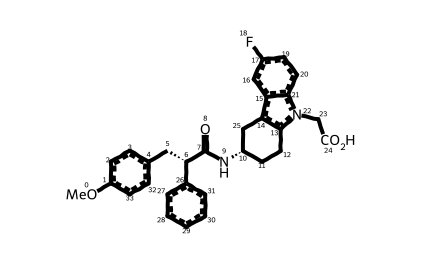 COc1ccc(C[C@H](C(=O)N[C@H]2CCc3c(c4cc(F)ccc4n3CC(=O)O)C2)c2ccccc2)cc1